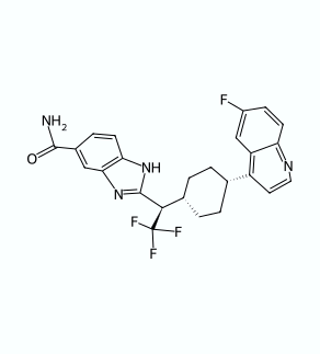 NC(=O)c1ccc2[nH]c([C@@H]([C@H]3CC[C@@H](c4ccnc5ccc(F)cc54)CC3)C(F)(F)F)nc2c1